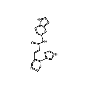 O=C(/C=C/c1cnccc1-c1cc[nH]c1)Nc1ccc2[nH]ccc2c1